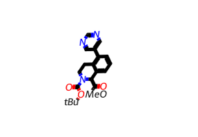 COC(=O)C1c2cccc(-c3cncnc3)c2CCN1C(=O)OC(C)(C)C